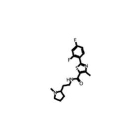 Cc1nc(-c2ccc(F)cc2F)sc1C(=O)NCCC1CCCN1C